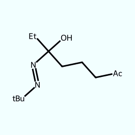 CCC(O)(CCCC(C)=O)N=NC(C)(C)C